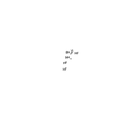 B.F.F.F.F.N